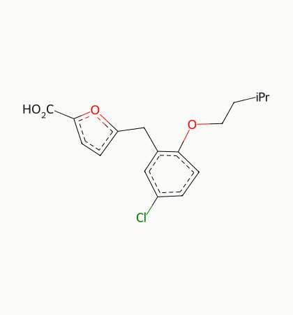 CC(C)CCOc1ccc(Cl)cc1Cc1ccc(C(=O)O)o1